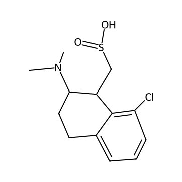 CN(C)C1CCc2cccc(Cl)c2C1CS(=O)O